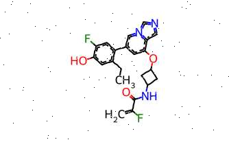 C=C(F)C(=O)NC1CC(Oc2cc(-c3cc(F)c(O)cc3CC)cn3cncc23)C1